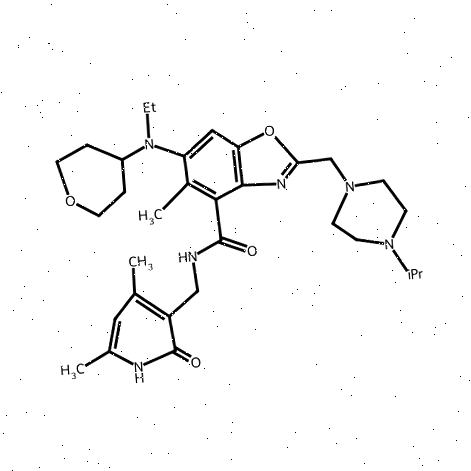 CCN(c1cc2oc(CN3CCN(C(C)C)CC3)nc2c(C(=O)NCc2c(C)cc(C)[nH]c2=O)c1C)C1CCOCC1